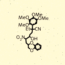 CCC(C#N)(CCC(O)C(CC1COc2ccccc2O1)[N+](=O)[O-])c1cc(OC)c(OC)c(OC)c1OC